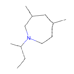 CCC(C)N1CCC(C)CC(C)C1